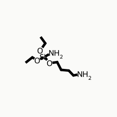 CCO[Si](N)(OCC)OCCCCN